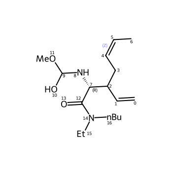 C=CC(C/C=C\C)[C@@H](NC(O)OC)C(=O)N(CC)CCCC